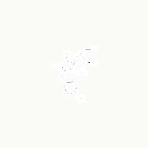 O=C(O)[C@H](Cc1ccc(O)cc1)NC1(CO)O[C@H](CO)[C@@H](O)[C@@H]1O